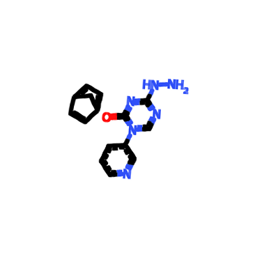 C1=CC2=CC=C1C2.NNc1ncn(-c2cccnc2)c(=O)n1